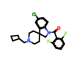 O=C(c1c(F)cccc1F)N1CC2(CCN(CC3CCC3)CC2)c2cc(Cl)ccc21